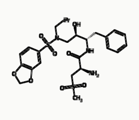 CC(C)CN(C[C@@H](O)[C@H](Cc1ccccc1)NC(=O)[C@@H](N)CS(C)(=O)=O)S(=O)(=O)c1ccc2c(c1)OCO2